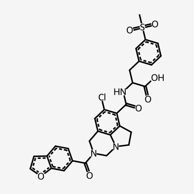 CS(=O)(=O)c1cccc(CC(NC(=O)c2c(Cl)cc3c4c2CCN4CN(C(=O)c2ccc4ccoc4c2)C3)C(=O)O)c1